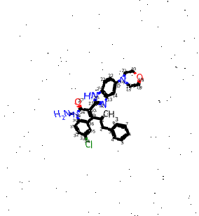 CC(Cc1ccccc1)c1c(-c2nc3cc(N4CCOCC4)ccc3[nH]2)c(=O)n(N)c2ccc(Cl)cc12